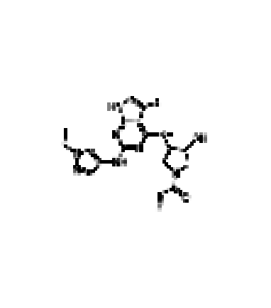 C=CC(=O)N1CC(O)C(Nc2nc(Nc3cnn(CC)c3)nc3[nH]cc(Cl)c23)C1